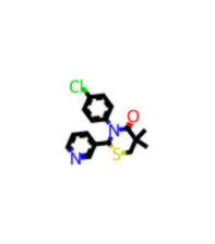 CC1(C)CSC(c2cccnc2)N(c2ccc(Cl)cc2)C1=O